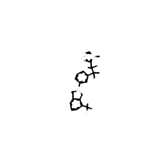 Cn1cnnc1C(F)(F)C(C)(F)c1cccc(N2Cc3c(cccc3C(F)(F)F)C2=O)c1